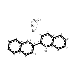 [Br-].[Br-].[Pd+2].c1ccc2nc(-c3ccc4ccccc4n3)ccc2c1